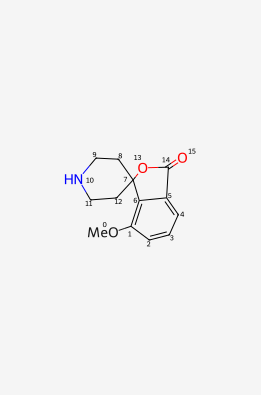 COc1cccc2c1C1(CCNCC1)OC2=O